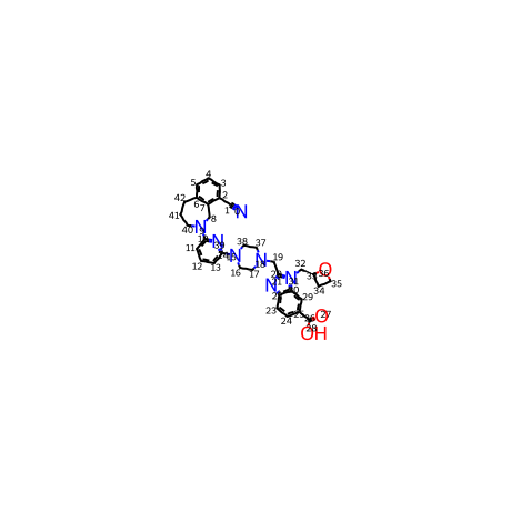 N#Cc1cccc2c1CN(c1cccc(N3CCN(Cc4nc5ccc(C(=O)O)cc5n4C[C@@H]4CCO4)CC3)n1)CCC2